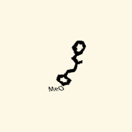 COc1ccc(C=CC(C)=Cc2ccccc2)cc1